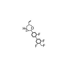 C=CC1COC(c2ccc(-c3cc(F)c(CF)c(F)c3)c(F)c2)C2C[C@@H]2C1